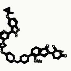 COc1c(N2CCC(CN3CCC(OC4CN(c5cc(-c6[nH]nc7ccc(OC8(C)CC8)cc67)ncn5)C4)CC3)CC2)ccc2c1CN(C1CCC(=O)NC1=O)C2=O